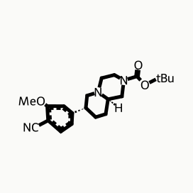 COc1cc([C@H]2CC[C@@H]3CN(C(=O)OC(C)(C)C)CCN3C2)ccc1C#N